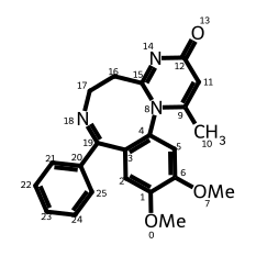 COc1cc2c(cc1OC)-n1c(C)cc(=O)nc1CCN=C2c1ccccc1